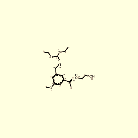 CCOC(C)OCC.COc1cc(CCl)cc(C(C)=O)c1.OCCO